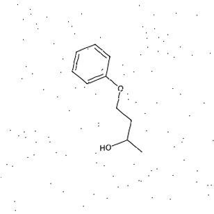 CC(O)CCOc1ccccc1